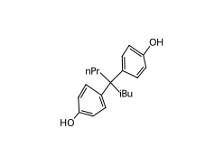 CCCC(c1ccc(O)cc1)(c1ccc(O)cc1)C(C)CC